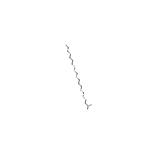 CCCCCCCCCCC[CH]CCCCCCCC(C)C